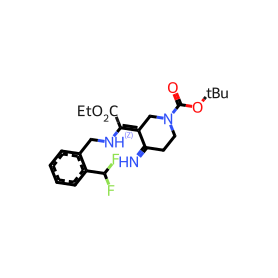 CCOC(=O)/C(NCc1ccccc1C(F)F)=C1\CN(C(=O)OC(C)(C)C)CCC1=N